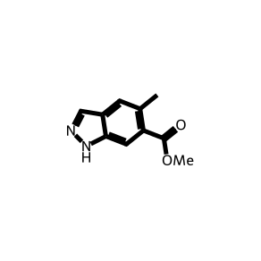 COC(=O)c1cc2[nH]ncc2cc1C